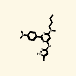 CCCCN(C)c1cc(Nc2cc(C)[nH]n2)nc(-c2ccc(N(C)C)cc2)n1